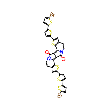 O=C1C2=C3c4sc(-c5ccc(-c6ccc(Br)s6)s5)cc4C=CN3C(=O)C2=C2c3sc(-c4ccc(-c5ccc(Br)s5)s4)cc3C=CN12